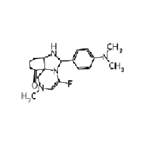 CN1C=C(F)N2C(c3ccc(N(C)C)cc3)NC3CCCC(=O)C32C1